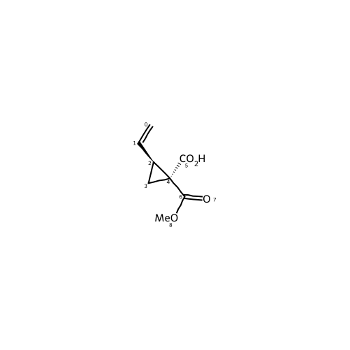 C=C[C@@H]1C[C@]1(C(=O)O)C(=O)OC